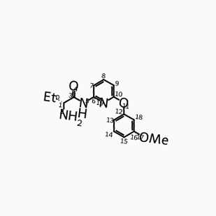 CC[C@@H](N)C(=O)Nc1cccc(Oc2cccc(OC)c2)n1